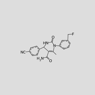 CC1=C(C(N)=O)C(c2ccc(C#N)cc2)NC(=O)N1c1cccc(CF)c1